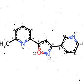 Cc1cccc(-c2cc(-c3cccnc3)no2)n1